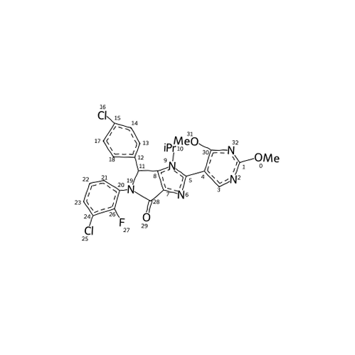 COc1ncc(-c2nc3c(n2C(C)C)C(c2ccc(Cl)cc2)N(c2cccc(Cl)c2F)C3=O)c(OC)n1